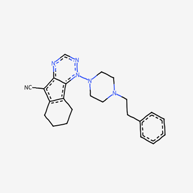 N#Cc1c2ncnn(N3CCN(CCc4ccccc4)CC3)c-2c2c1CCCC2